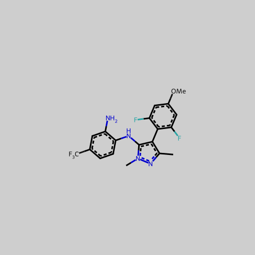 COc1cc(F)c(-c2c(C)nn(C)c2Nc2ccc(C(F)(F)F)cc2N)c(F)c1